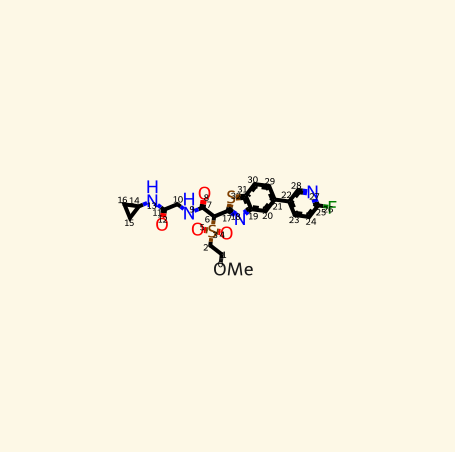 COCCS(=O)(=O)C(C(=O)NCC(=O)NC1CC1)c1nc2cc(-c3ccc(F)nc3)ccc2s1